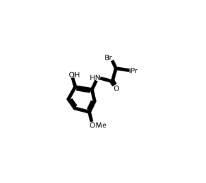 COc1ccc(O)c(NC(=O)C(Br)C(C)C)c1